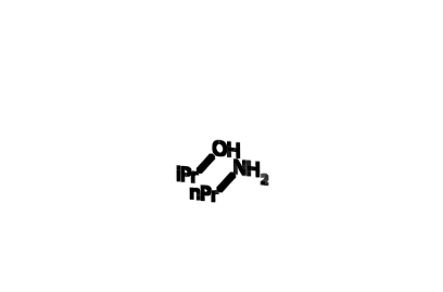 CC(C)O.CCCN